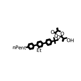 C=C(C)C(=O)OCC(C)(COC(=O)C(=C)CO)c1ccc(-c2ccc(-c3ccc(CCCCC)cc3)c(CC)c2)cc1